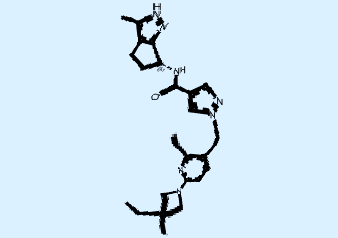 CCC1(C)CN(c2ccc(Cn3cc(C(=O)N[C@@H]4CCc5c4n[nH]c5C)cn3)c(C)n2)C1